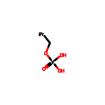 CC(C)C[O][V](=[O])([OH])[OH]